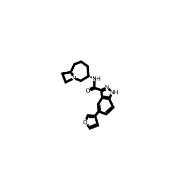 O=C(N[C@H]1CCCC2CCN2C1)c1n[nH]c2ccc(-c3ccoc3)cc12